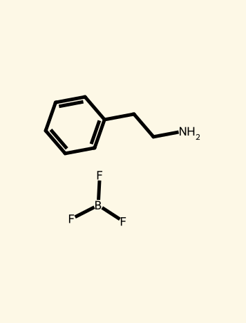 FB(F)F.NCCc1ccccc1